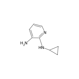 Nc1cccnc1NC1CC1